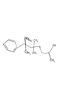 CCC(C)C(C)(c1ccccc1)C(C)(C)SCC(C)O